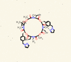 CC(C)CC1C(=O)O[C@H](Cc2ccc(Cn3cccn3)cc2)C(=O)N(C)[C@@]2(CC2(C)C)C(=O)O[C@H](C)C(=O)N(C)[C@@H](CC(C)C)C(=O)O[C@H](Cc2ccc(Cn3cccn3)cc2)C(=O)N(C)[C@@H](CC(C)C)C(=O)O[C@H](C)C(=O)N1C